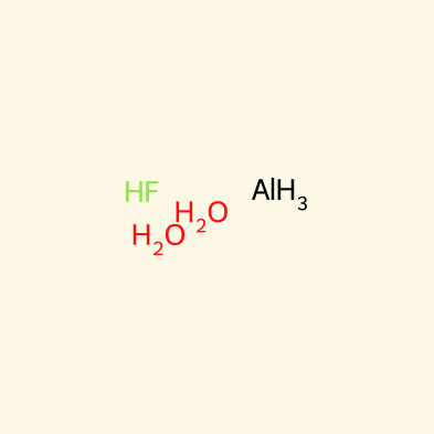 F.O.O.[AlH3]